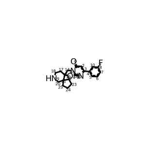 O=c1cc(-c2cccc(F)c2)ncn1CC1(O)CCNCC12CCCC2